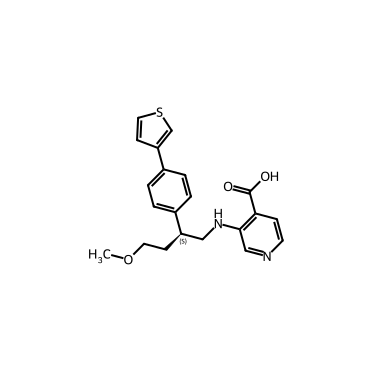 COCC[C@H](CNc1cnccc1C(=O)O)c1ccc(-c2ccsc2)cc1